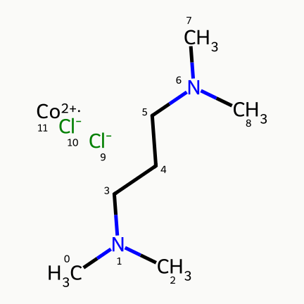 CN(C)CCCN(C)C.[Cl-].[Cl-].[Co+2]